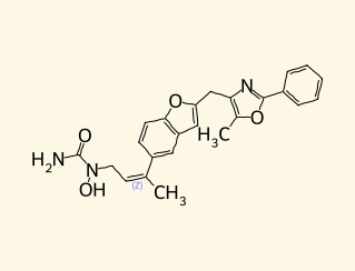 C/C(=C/CN(O)C(N)=O)c1ccc2oc(Cc3nc(-c4ccccc4)oc3C)cc2c1